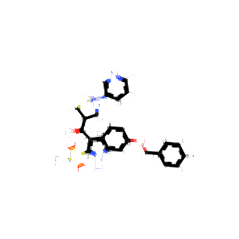 CCS(=O)(=O)c1[nH]c2cc(OCc3ccccc3)ccc2c1C(=O)C1CSN(c2cccnc2)C1